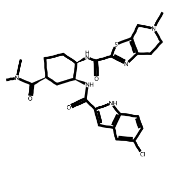 CN1CCc2nc(C(=O)N[C@@H]3CC[C@H](C(=O)N(C)C)C[C@@H]3NC(=O)c3cc4cc(Cl)ccc4[nH]3)sc2C1